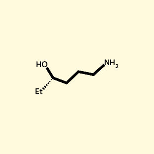 CC[C@H](O)CCCN